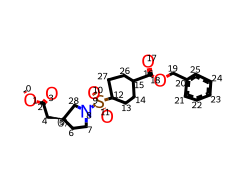 COC(=O)C[C@@H]1CCN(S(=O)(=O)C2CCC(C(=O)OCc3ccccc3)CC2)C1